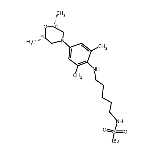 Cc1cc(N2C[C@@H](C)O[C@@H](C)C2)cc(C)c1NCCCCCNS(=O)(=O)C(C)(C)C